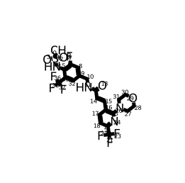 CS(=O)(=O)Nc1c(F)cc(CNC(=O)C=Cc2ccc(C(F)(F)F)nc2N2CCOCC2)cc1C(F)(F)F